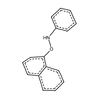 c1ccc(NOc2cccc3ccccc23)cc1